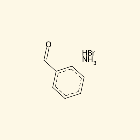 Br.N.O=Cc1ccccc1